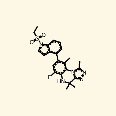 CCS(=O)(=O)n1ccc2c(-c3cc(F)c4c(c3C)-n3c(C)nnc3C(C)(C)N4)cccc21